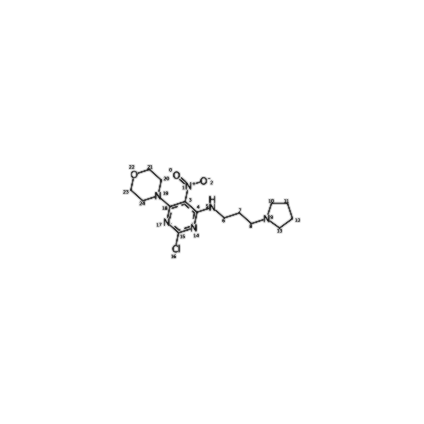 O=[N+]([O-])c1c(NCCCN2CCCC2)nc(Cl)nc1N1CCOCC1